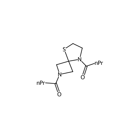 CCCC(=O)N1CC2(C1)SCCN2C(=O)CCC